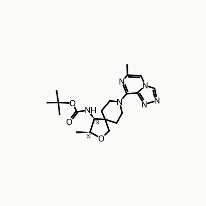 Cc1cn2cnnc2c(N2CCC3(CC2)CO[C@@H](C)[C@H]3NC(=O)OC(C)(C)C)n1